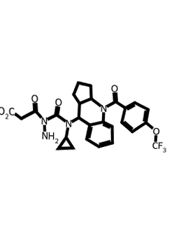 CCOC(=O)CC(=O)N(N)C(=O)N(C1CC1)C1c2ccccc2N(C(=O)c2ccc(OC(F)(F)F)cc2)C2CCCC21